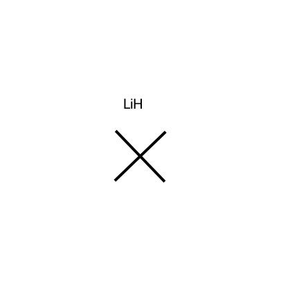 CC(C)(C)C.[LiH]